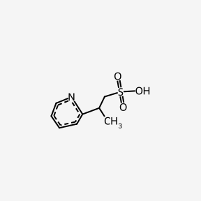 CC(CS(=O)(=O)O)c1ccccn1